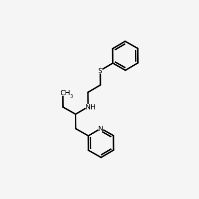 CCC(Cc1ccccn1)NCCSc1ccccc1